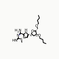 CCCCOC[C@H]1O[C@@H](c2cnc(/C(N)=N\C(=N)SC)[nH]2)C[C@@H]1OCCCC